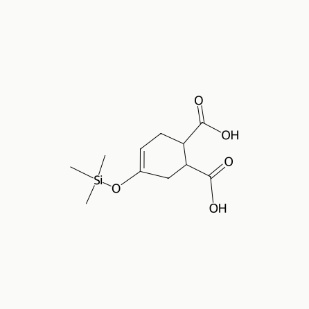 C[Si](C)(C)OC1=CCC(C(=O)O)C(C(=O)O)C1